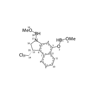 COBOc1cc2c(c3ccccc13)[C@H](CCl)CN2BOC